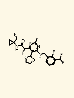 Cc1nc(NCc2cccc(C(F)F)c2F)c(C2OCCO2)c(C(F)C(=O)NC2(CF)CC2)n1